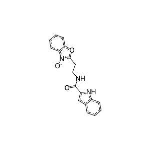 O=C(NCCc1oc2ccccc2[n+]1[O-])c1cc2ccccc2[nH]1